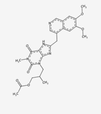 COc1cc2cncc(Cc3nc4c([nH]3)c(=O)n(C)c(=O)n4CC(C)COC(C)=O)c2cc1OC